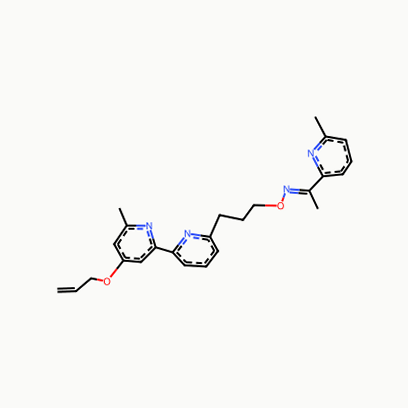 C=CCOc1cc(C)nc(-c2cccc(CCCO/N=C(\C)c3cccc(C)n3)n2)c1